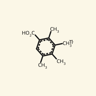 Cc1cc(C(=O)O)c(C)c(C)c1C.[Tl]